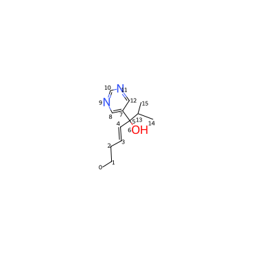 CCCC=CC(O)(c1cncnc1)C(C)C